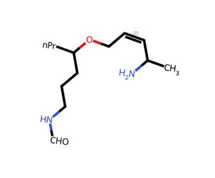 CCCC(CCCNC=O)OC/C=C\C(C)N